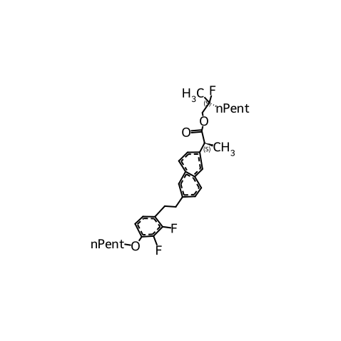 CCCCCOc1ccc(CCc2ccc3cc([C@H](C)C(=O)OC[C@@](C)(F)CCCCC)ccc3c2)c(F)c1F